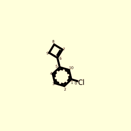 Clc1cccc(C2=CCC2)c1